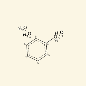 O.O.O.Oc1ccccc1